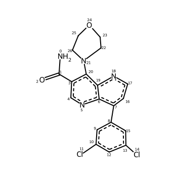 NC(=O)c1cnc2c(-c3cc(Cl)cc(Cl)c3)ccnc2c1N1CCOCC1